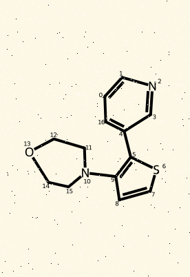 c1cncc(-c2sccc2N2CCOCC2)c1